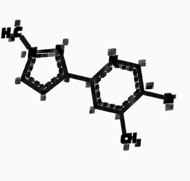 Cc1cc(-c2ccn(C)n2)ncc1Br